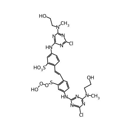 CN(CCO)c1nc(Cl)nc(Nc2ccc(/C=C/c3ccc(Nc4nc(Cl)nc(N(C)CCO)n4)cc3S(=O)(=O)O)c(SOOO)c2)n1